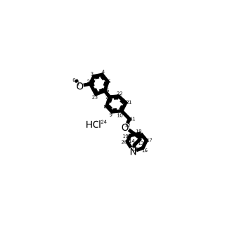 COc1cccc(-c2ccc(COC3CN4CCC3CC4)cc2)c1.Cl